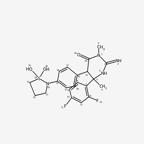 CN1C(=N)NC(C)(c2ccc(F)cc2F)C(c2ccc(N3CCCS3(O)O)cc2)C1=O